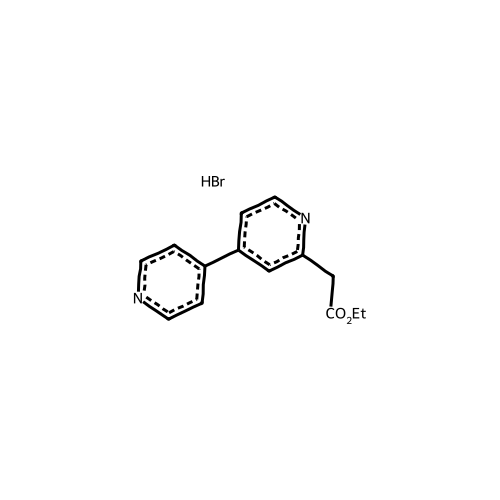 Br.CCOC(=O)Cc1cc(-c2ccncc2)ccn1